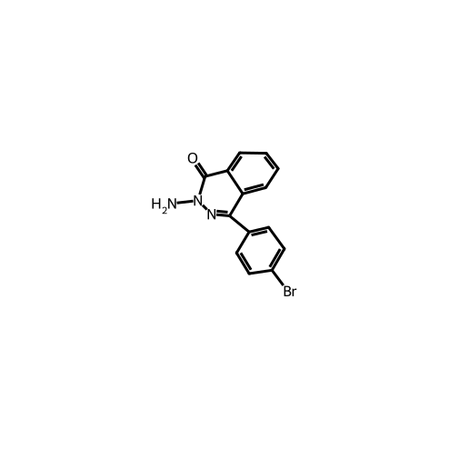 Nn1nc(-c2ccc(Br)cc2)c2ccccc2c1=O